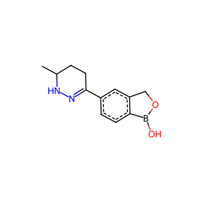 CC1CCC(c2ccc3c(c2)COB3O)=NN1